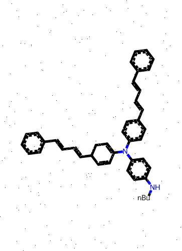 CCCCNc1ccc(N(C2=CCC(/C=C/C=C/c3ccccc3)C=C2)c2ccc(/C=C/C=C/c3ccccc3)cc2)cc1